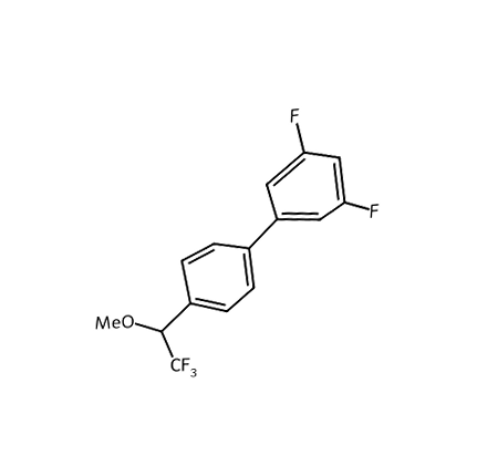 COC(c1ccc(-c2cc(F)cc(F)c2)cc1)C(F)(F)F